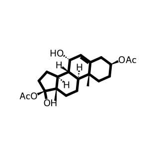 CC(=O)O[C@H]1CC[C@@]2(C)C(=C[C@@H](O)[C@@H]3[C@@H]2CC[C@@]2(C)[C@H]3CC[C@]2(O)OC(C)=O)C1